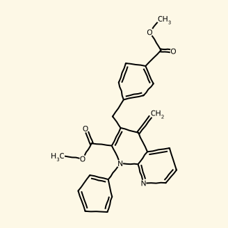 C=C1C(Cc2ccc(C(=O)OC)cc2)=C(C(=O)OC)N(c2ccccc2)c2ncccc21